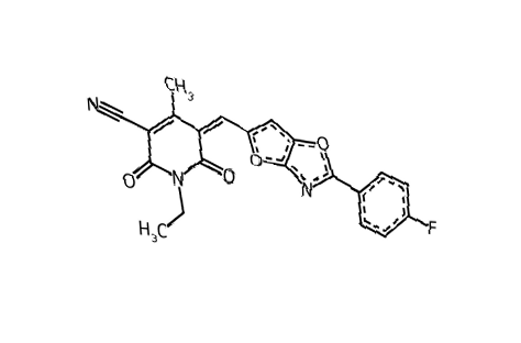 CCN1C(=O)C(C#N)=C(C)/C(=C/c2cc3oc(-c4ccc(F)cc4)nc3o2)C1=O